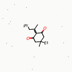 CCC1(C)CC(=O)C(=C(C)CC(C)C)C(=O)C1